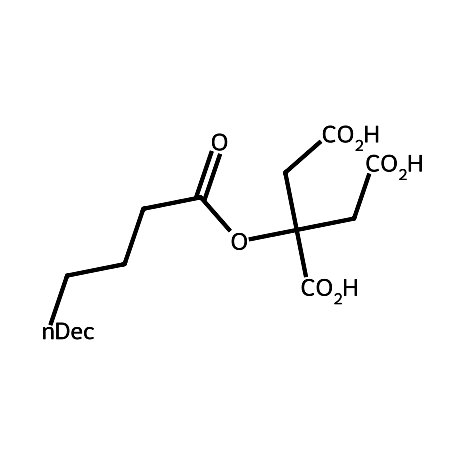 CCCCCCCCCCCCCC(=O)OC(CC(=O)O)(CC(=O)O)C(=O)O